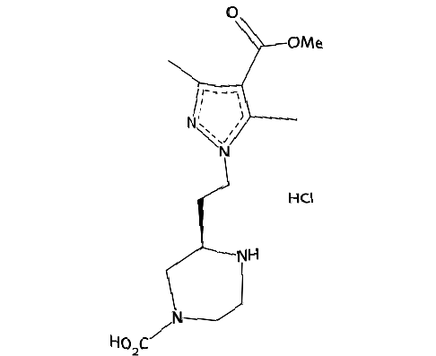 COC(=O)c1c(C)nn(CC[C@@H]2CN(C(=O)O)CCN2)c1C.Cl